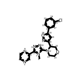 Cn1c(-c2cnccn2)nnc1N1CCOCC1c1cc(-c2cccc(Cl)c2)on1